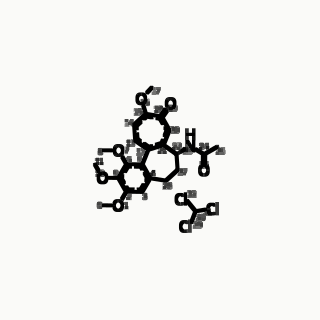 COc1cc2c(c(OC)c1OC)-c1ccc(OC)c(=O)cc1[C@@H](NC(C)=O)CC2.ClC(Cl)Cl